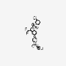 CC(C)(C)OC(=O)N1CCN(c2ccc3c(c2)c(C(F)F)cn3S(=O)(=O)c2cccc(Cl)c2)CC1